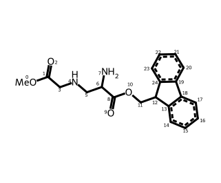 COC(=O)CNCC(N)C(=O)OCC1c2ccccc2-c2ccccc21